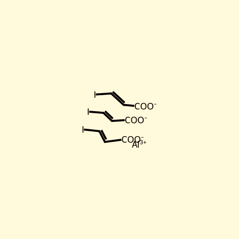 O=C([O-])C=CI.O=C([O-])C=CI.O=C([O-])C=CI.[Al+3]